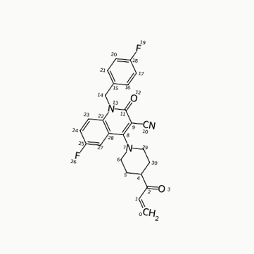 C=CC(=O)C1CCN(c2c(C#N)c(=O)n(Cc3ccc(F)cc3)c3ccc(F)cc23)CC1